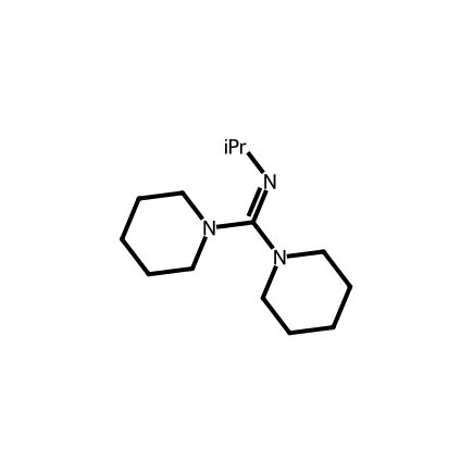 CC(C)N=C(N1CCCCC1)N1CCCCC1